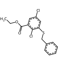 CCOC(=O)c1cc(Cl)cc(SCc2ccccc2)c1Cl